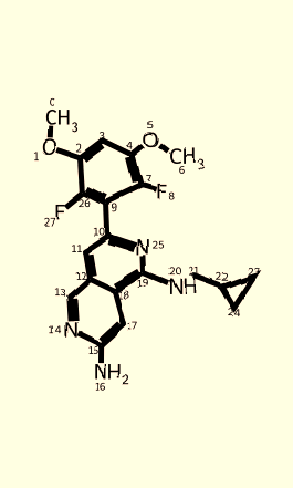 COc1cc(OC)c(F)c(-c2cc3cnc(N)cc3c(NCC3CC3)n2)c1F